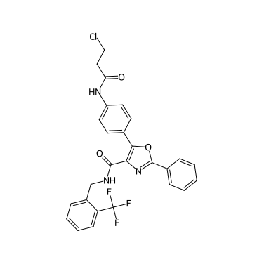 O=C(CCCl)Nc1ccc(-c2oc(-c3ccccc3)nc2C(=O)NCc2ccccc2C(F)(F)F)cc1